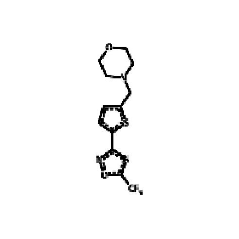 FC(F)(F)c1nc(-c2ccc(CN3CCOCC3)s2)no1